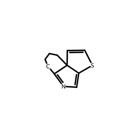 C1=CC23CCCCC2=NC=C3S1